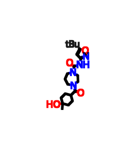 CC1(O)CCC(C(=O)N2CCCN(C(=O)Nc3cc(C(C)(C)C)on3)CC2)CC1